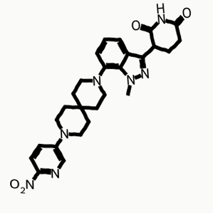 Cn1nc(C2CCC(=O)NC2=O)c2cccc(N3CCC4(CCN(c5ccc([N+](=O)[O-])nc5)CC4)CC3)c21